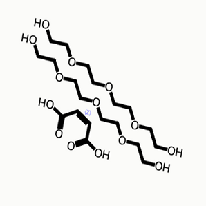 O=C(O)/C=C\C(=O)O.OCCOCCOCCOCCO.OCCOCCOCCOCCO